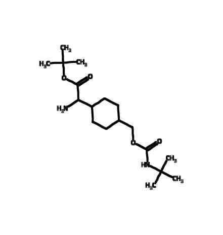 CC(C)(C)NC(=O)OCC1CCC(C(N)C(=O)OC(C)(C)C)CC1